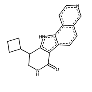 O=C1NCC(C2CCC2)c2[nH]c3c(ccc4cnccc43)c21